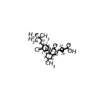 CC1CC[C@@]2(c3ccc(CCC(C)(C)C)c(Cl)c3)NC(=O)N(C34CC(C(=O)O)(C3)C4)C=C2C1